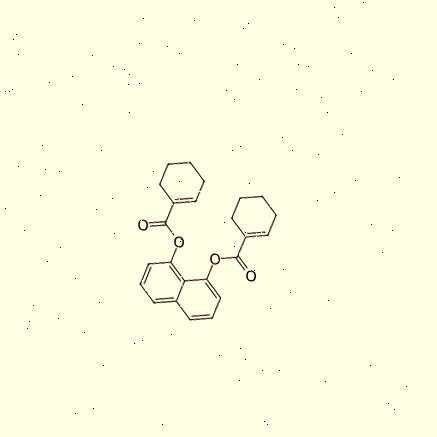 O=C(Oc1cccc2cccc(OC(=O)C3=CCCCC3)c12)C1=CCCCC1